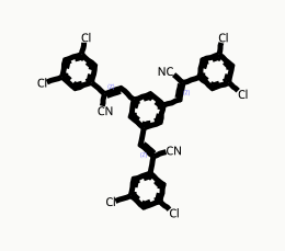 N#C/C(=C\c1cc(/C=C(\C#N)c2cc(Cl)cc(Cl)c2)cc(/C=C(\C#N)c2cc(Cl)cc(Cl)c2)c1)c1cc(Cl)cc(Cl)c1